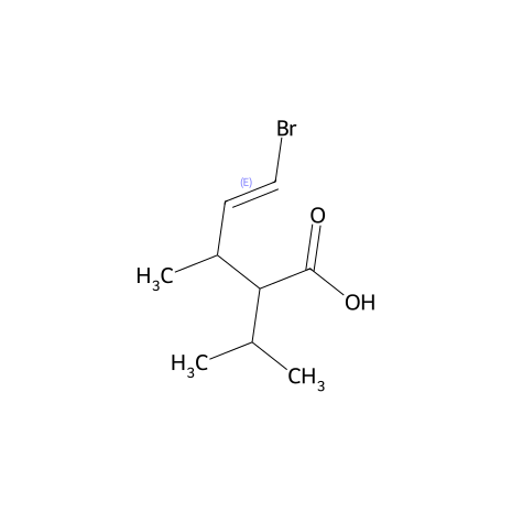 CC(C)C(C(=O)O)C(C)/C=C/Br